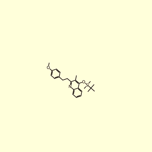 COc1ccc(CCc2nc3ccccc3c(O[Si](C)(C)C(C)(C)C)c2C)cc1